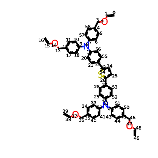 C=COCc1ccc(N(c2ccc(COC=C)cc2)c2ccc(-c3ccc(-c4ccc(N(c5ccc(COC=C)cc5)c5ccc(COC=C)cc5)cc4)s3)cc2)cc1